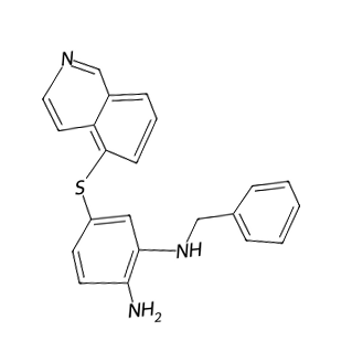 Nc1ccc(Sc2cccc3cnccc23)cc1NCc1ccccc1